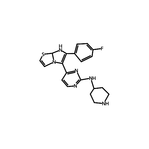 Fc1ccc(C2=C(c3ccnc(NC4CCNCC4)n3)N3C=CSC3N2)cc1